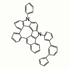 c1ccc(-c2cccc(-c3cccc(-n4c5ccc6c7c8c(cccc8n6-c6ccccc6)c6ccccc6c6cc8ccccc8c4c6c75)c3)c2)cc1